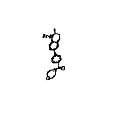 CC(=O)N1c2ccc(-c3ccc(C(=O)N4CCOCC4)cc3)cc2CC[C@@H]1C